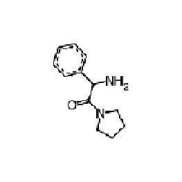 NC(C(=O)N1CCCC1)c1ccccc1